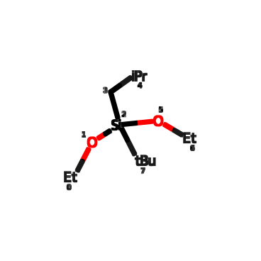 CCO[Si](CC(C)C)(OCC)C(C)(C)C